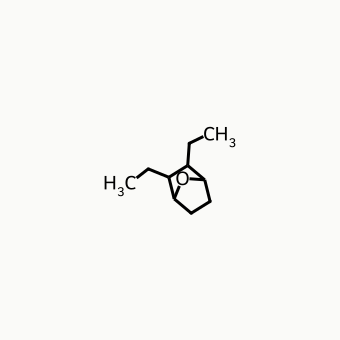 CCC1C2CCC(O2)C1CC